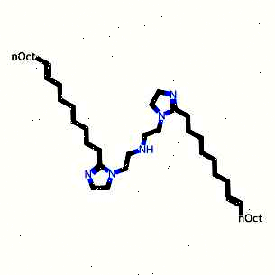 CCCCCCCCC=CCCCCCCCC1=NCCN1CCNCCN1CCN=C1CCCCCCCC=CCCCCCCCC